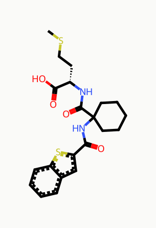 CSCC[C@H](NC(=O)C1(NC(=O)c2cc3ccccc3s2)CCCCC1)C(=O)O